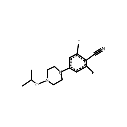 CC(C)ON1CCN(c2cc(F)c(C#N)c(F)c2)CC1